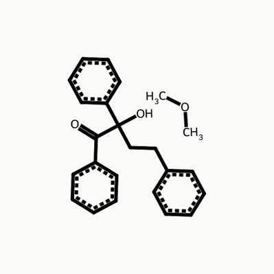 COC.O=C(c1ccccc1)C(O)(CCc1ccccc1)c1ccccc1